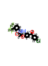 CC(C)(Oc1ccc(C(=O)c2ccc(Cl)cc2)cc1)C(=O)Nc1ccc(F)c(C(F)(F)F)c1